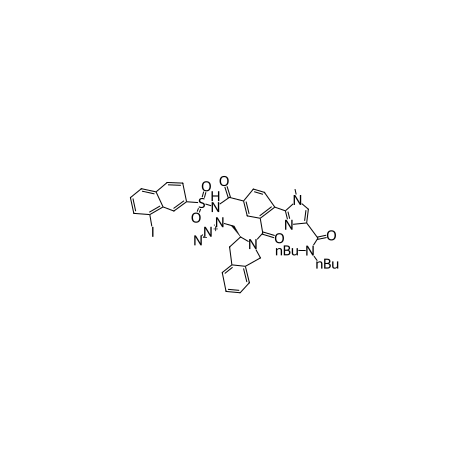 CCCCN(CCCC)C(=O)c1cn(C)c(-c2ccc(C(=O)NS(=O)(=O)c3ccc4cccc(I)c4c3)cc2C(=O)N2Cc3ccccc3C[C@H]2CN=[N+]=[N-])n1